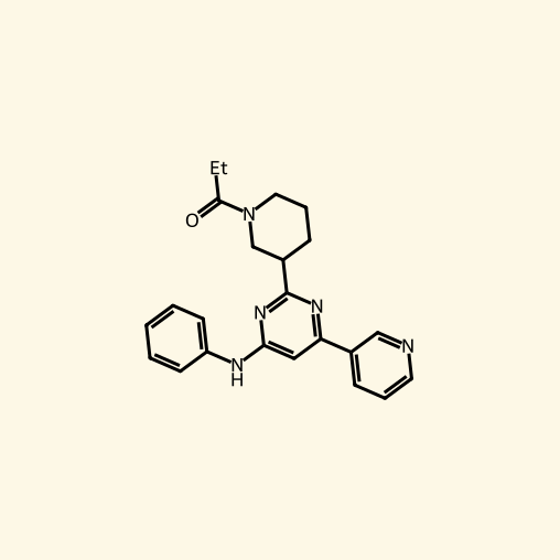 CCC(=O)N1CCCC(c2nc(Nc3ccccc3)cc(-c3cccnc3)n2)C1